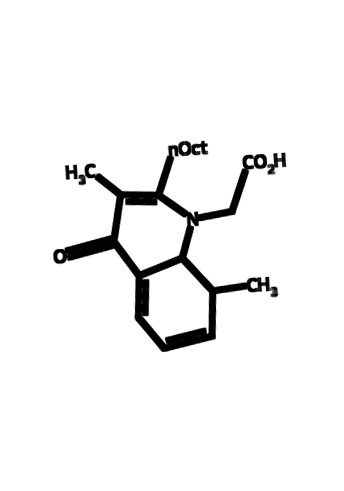 CCCCCCCCC1=C(C)C(=O)C2=CC=CC(C)C2N1CC(=O)O